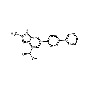 Cc1nc2c(C(=O)O)cc(-c3ccc(-c4ccccc4)cc3)cc2[nH]1